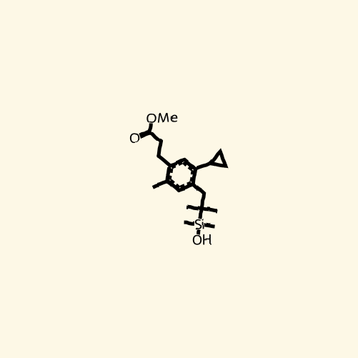 COC(=O)CCc1cc(C2CC2)c(CC(C)(C)[Si](C)(C)O)cc1C